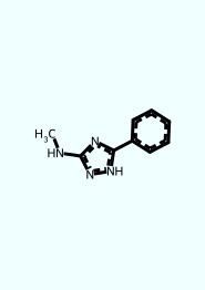 CNc1n[nH]c(-c2ccccc2)n1